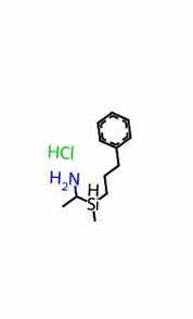 CC(N)[SiH](C)CCCc1ccccc1.Cl